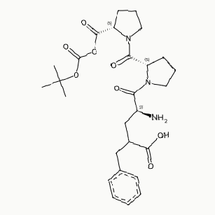 CC(C)(C)OC(=O)OC(=O)[C@@H]1CCCN1C(=O)[C@@H]1CCCN1C(=O)[C@@H](N)CC(Cc1ccccc1)C(=O)O